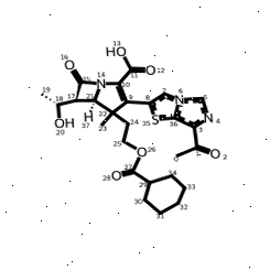 CC(=O)c1ncn2cc(C3=C(C(=O)O)N4C(=O)[C@H]([C@@H](C)O)[C@@H]4C3(C)CCOC(=O)C3CCCCC3)sc12